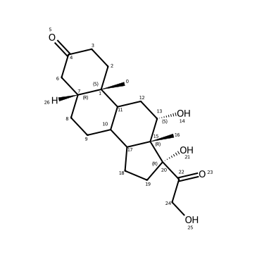 C[C@]12CCC(=O)C[C@H]1CCC1C2C[C@H](O)[C@@]2(C)C1CC[C@]2(O)C(=O)CO